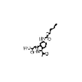 C=CCCCOC(=O)Nc1ccc2c(C(C)=O)nn(CC(O)O)c2c1